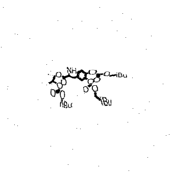 CCCCOC(=O)OC(C)[C@H](C)OC(=O)[C@@H](N)Cc1ccc(OC(=O)OCC(C)CC)c(OC(=O)OCC(C)CC)c1